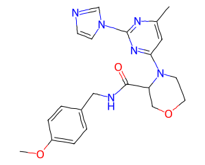 COc1ccc(CNC(=O)C2COCCN2c2cc(C)nc(-n3ccnc3)n2)cc1